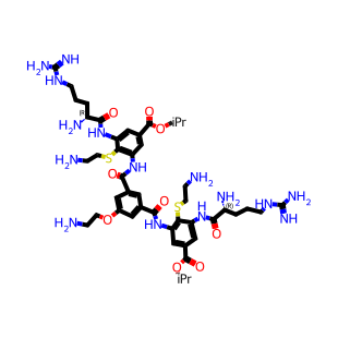 CC(C)OC(=O)c1cc(NC(=O)c2cc(OCCN)cc(C(=O)Nc3cc(C(=O)OC(C)C)cc(NC(=O)[C@H](N)CCCNC(=N)N)c3SCCN)c2)c(SCCN)c(NC(=O)[C@H](N)CCCNC(=N)N)c1